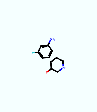 Nc1cccc(F)c1.OC1CCCNC1